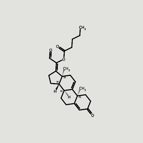 CCCCC(=O)OC(C=O)=C1CC[C@H]2[C@@H]3CCC4=CC(=O)CC[C@]4(C)C3=CC[C@]12C